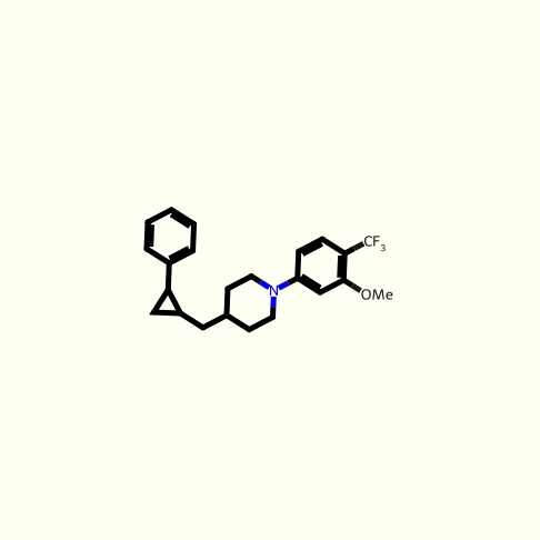 COc1cc(N2CCC(CC3CC3c3ccccc3)CC2)ccc1C(F)(F)F